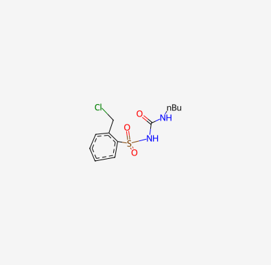 CCCCNC(=O)NS(=O)(=O)c1ccccc1CCl